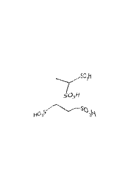 CC(S(=O)(=O)O)S(=O)(=O)O.O=S(=O)(O)CCS(=O)(=O)O